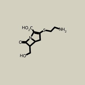 NCCSC1=C(C(=O)O)N2C(=O)C(CO)C2C1